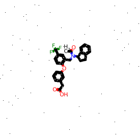 CC(=O)N(Cc1cc(C(F)(F)F)ccc1Oc1cccc(CC(=O)O)c1)C1CCc2ccccc21